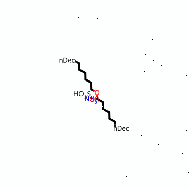 CCCCCCCCCCCCCCCCOCCCCCCCCCCCCCCCC.N.O=S(=O)(O)O